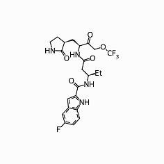 CC[C@H](CC(=O)N[C@@H](C[C@@H]1CCNC1=O)C(=O)COC(F)(F)F)NC(=O)c1cc2cc(F)ccc2[nH]1